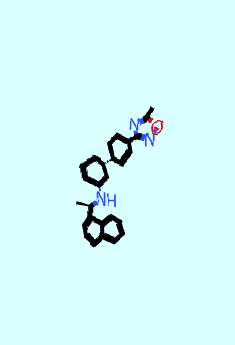 Cc1nc(C2=CCC([C@H]3CCC[C@H](N[C@H](C)c4cccc5ccccc45)C3)C=C2)no1